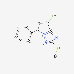 CCSc1nc2n(n1)C(c1ccccc1)CC2F